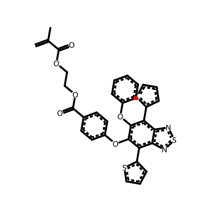 C=C(C)C(=O)OCCOC(=O)c1ccc(Oc2c(Oc3ccccc3)c(-c3cccs3)c3nsnc3c2-c2cccs2)cc1